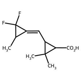 CC1C(=CC2C(C(=O)O)C2(C)C)C1(F)F